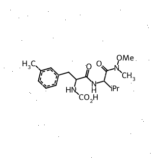 CON(C)C(=O)C(NC(=O)C(Cc1cccc(C)c1)NC(=O)O)C(C)C